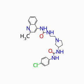 Cc1cc(NC(=O)NCCN2CCC(NC(=O)Nc3ccc(Cl)cc3)C2)c2ccccc2n1